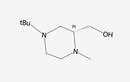 CN1CCN(C(C)(C)C)C[C@@H]1CO